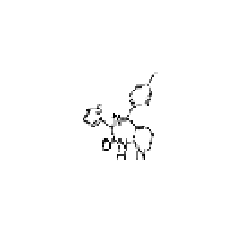 Cc1ccc(C2=NC(c3cccs3)C(=O)Nc3ncccc32)cc1